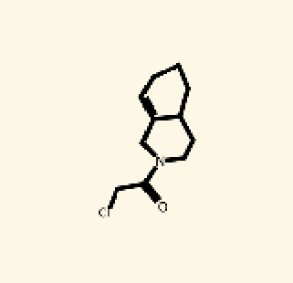 O=C(CCl)N1CCC2CCCC=C2C1